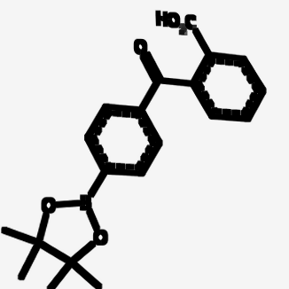 CC1(C)OB(c2ccc(C(=O)c3ccccc3C(=O)O)cc2)OC1(C)C